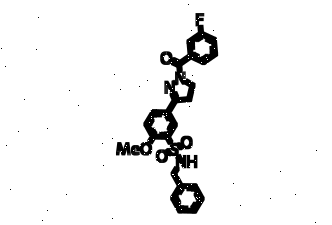 COc1ccc(C2=NN(C(=O)c3cccc(F)c3)CC2)cc1S(=O)(=O)NCc1ccccc1